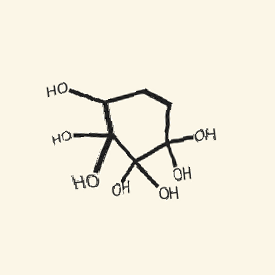 OC1CCC(O)(O)C(O)(O)C1(O)O